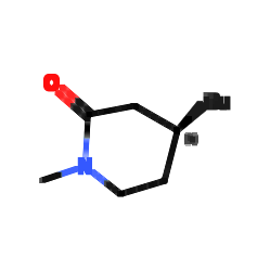 CCC(C)[C@H]1CCN(C)C(=O)C1